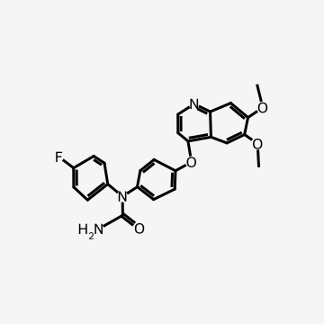 COc1cc2nccc(Oc3ccc(N(C(N)=O)c4ccc(F)cc4)cc3)c2cc1OC